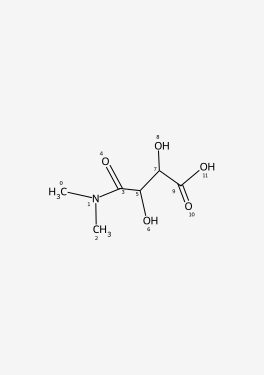 CN(C)C(=O)C(O)C(O)C(=O)O